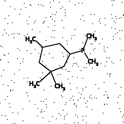 CC1CC(P(C)C)CC(C)(C)C1